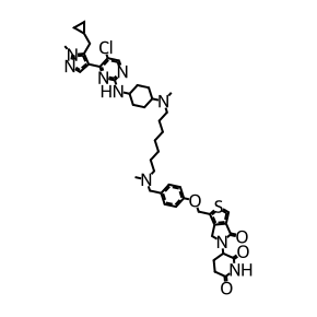 CN(CCCCCCCN(C)C1CCC(Nc2ncc(Cl)c(-c3cnn(C)c3CC3CC3)n2)CC1)Cc1ccc(OCc2scc3c2CN(C2CCC(=O)NC2=O)C3=O)cc1